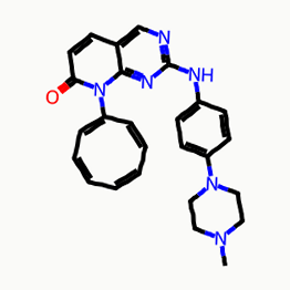 CN1CCN(c2ccc(Nc3ncc4ccc(=O)n(C5=CC=CC=CC=C5)c4n3)cc2)CC1